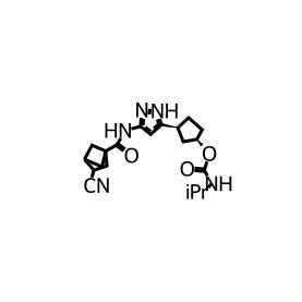 CC(C)NC(=O)O[C@@H]1CC[C@H](c2cc(NC(=O)C34CC(C#N)C(C3)C4)n[nH]2)C1